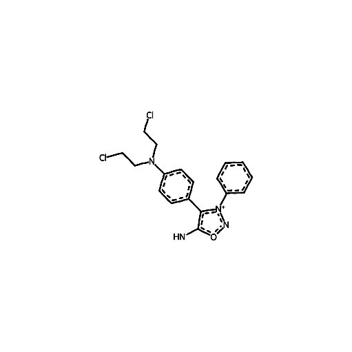 [NH-]c1on[n+](-c2ccccc2)c1-c1ccc(N(CCCl)CCCl)cc1